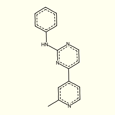 Cc1cc(-c2ccnc(Nc3ccccc3)n2)ccn1